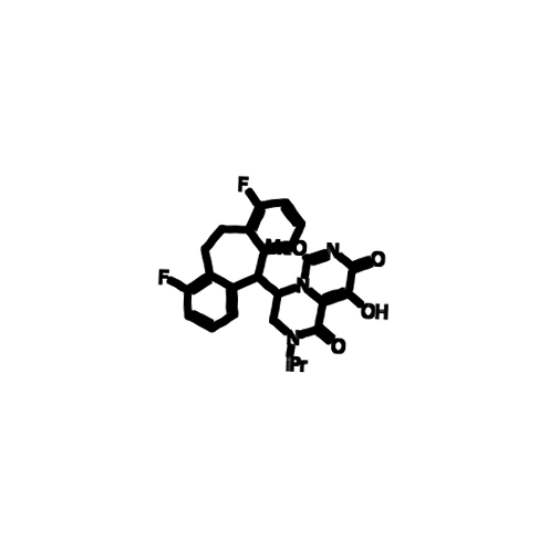 COc1nc(=O)c(O)c2n1C(C1c3cccc(F)c3CCc3c(F)cccc31)CN(C(C)C)C2=O